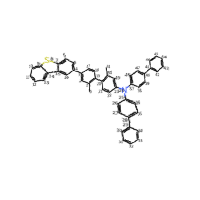 Cc1cc(-c2ccc3sc4ccccc4c3c2)ccc1-c1ccc(N(c2ccc(-c3ccccc3)cc2)c2ccc(-c3ccccc3)cc2)cc1C